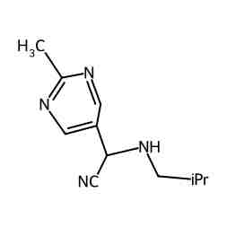 Cc1ncc(C(C#N)NCC(C)C)cn1